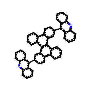 c1ccc2c(-c3ccc4c5ccccc5c5c6cc(-c7c8ccccc8nc8ccccc78)ccc6c6ccccc6c5c4c3)c3ccccc3nc2c1